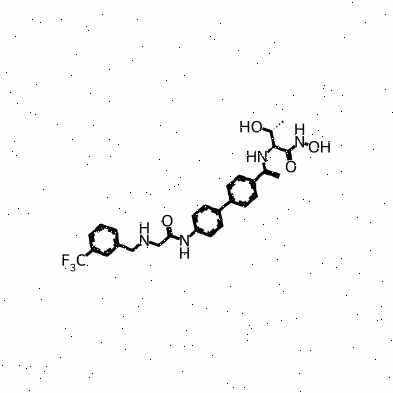 C=C(N[C@H](C(=O)NO)[C@@H](C)O)c1ccc(-c2ccc(NC(=O)CNCc3cccc(C(F)(F)F)c3)cc2)cc1